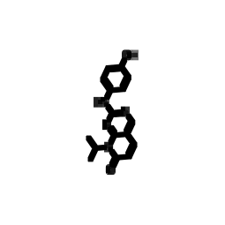 CC(C)n1c(=O)ccc2cnc(Nc3ccc(O)cc3)nc21